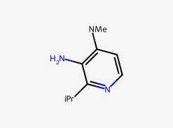 CNc1ccnc(C(C)C)c1N